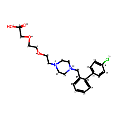 O=C(O)COCCOCCN1CCN(Cc2ccccc2-c2ccc(Cl)cc2)CC1